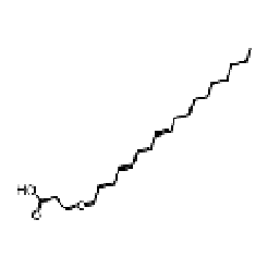 CCCCCCCCC/C=C/C=C/C=C/C=C/C=C=CCC(=O)O